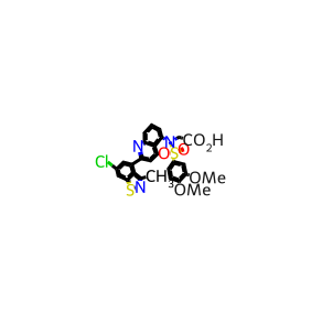 COc1ccc(S(=O)(=O)N(CC(=O)O)c2cccc3nc(-c4cc(Cl)cc5snc(C)c45)ccc23)cc1OC